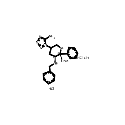 CO[C@]1(c2ccccc2)NCC(n2nnnc2N)C[C@@H]1NCc1ccccc1.Cl.Cl.Cl